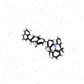 CC1(C)c2ccccc2N2c3ccc(-c4ccc5cc(-c6cccc7ccccc67)ccc5c4)cc3C(C)(C)c3cccc1c32